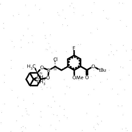 COc1c(C[C@@H](Cl)B2OC3CC4CC(C4(C)C)[C@]3(C)O2)cc(F)cc1C(=O)OC(C)(C)C